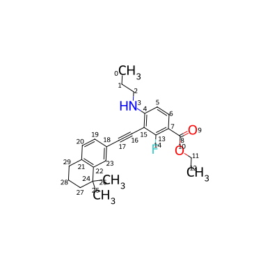 CCCNc1ccc(C(=O)OCC)c(F)c1C#Cc1ccc2c(c1)C(C)(C)CCC2